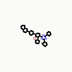 c1ccc(-c2nc(-c3ccccc3)nc(-c3ccc(-c4ccc(-c5ccc6ccccc6c5)cc4)c4oc5ccccc5c34)n2)cc1